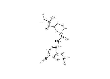 CC(C)[C@@H](O)C(=O)N1CCC[C@@H](C(=O)NCc2ccc(C#N)cc2OC(F)(F)F)C1